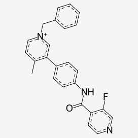 Cc1cc[n+](Cc2ccccc2)cc1-c1ccc(NC(=O)c2ccncc2F)cc1